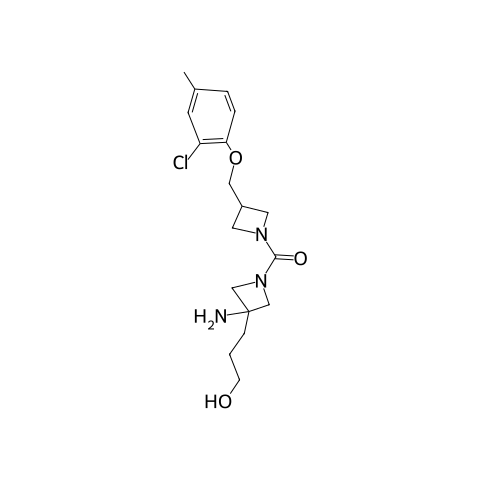 Cc1ccc(OCC2CN(C(=O)N3CC(N)(CCCO)C3)C2)c(Cl)c1